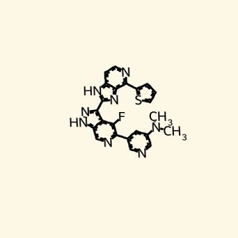 CN(C)c1cncc(-c2ncc3[nH]nc(-c4nc5c(-c6cccs6)nccc5[nH]4)c3c2F)c1